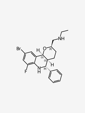 CCNC[C@H]1CC[C@@H]2[C@H](O1)c1cc(Br)cc(F)c1N[C@H]2c1ccccc1